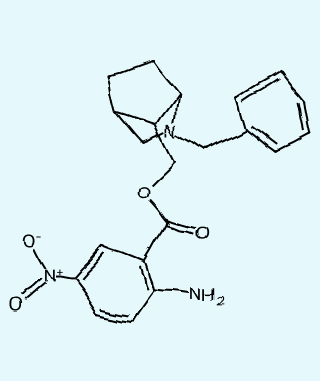 Nc1ccc([N+](=O)[O-])cc1C(=O)OCC1C2CCC1N(Cc1ccccc1)C2